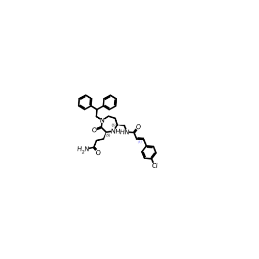 NC(=O)CC[C@@H]1N[C@H](CNC(=O)/C=C/c2ccc(Cl)cc2)CCN(CC(c2ccccc2)c2ccccc2)C1=O